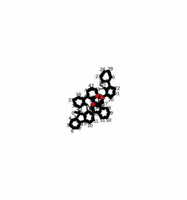 CC1(C)c2ccccc2-c2cccc(N(c3ccc(-c4cccc5c4SC4C=CC=CC54)cc3)c3ccccc3-c3cccc4oc5c6ccccc6ccc5c34)c21